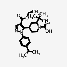 CCOC(=O)c1cnn(-c2ccc(C(C)C)cc2)c1C1CCN(C(=O)O)C(C(C)(C)C)C1